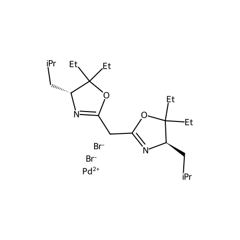 CCC1(CC)OC(CC2=N[C@H](CC(C)C)C(CC)(CC)O2)=N[C@@H]1CC(C)C.[Br-].[Br-].[Pd+2]